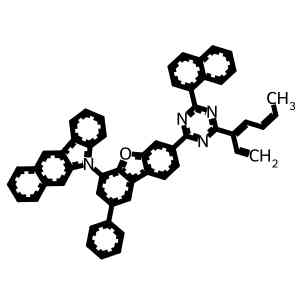 C=C/C(=C\C=C/C)c1nc(-c2ccc3c(c2)oc2c(-n4c5ccccc5c5cc6ccccc6cc54)cc(-c4ccccc4)cc23)nc(-c2cccc3ccccc23)n1